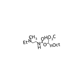 CCCCCCCCC(CC(=O)O)OC(=O)NCCN(C)CC